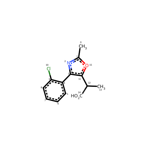 Cc1nc(-c2ccccc2Cl)c(C(C)C(=O)O)o1